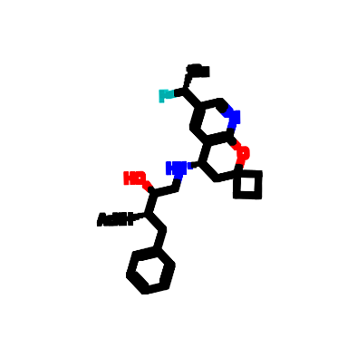 CC(=O)N[C@@H](Cc1ccccc1)[C@@H](O)CN[C@H]1CC2(CCC2)Oc2ncc([C@H](F)C(C)(C)C)cc21